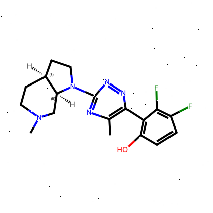 Cc1nc(N2CC[C@@H]3CCN(C)C[C@@H]32)nnc1-c1c(O)ccc(F)c1F